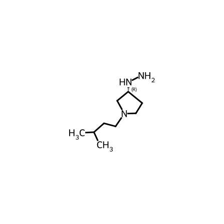 CC(C)CCN1CC[C@@H](NN)C1